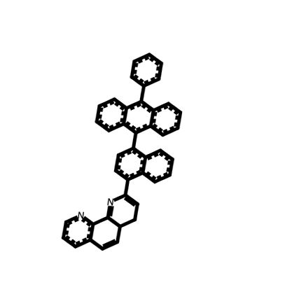 C1=CC2CC=C(c3ccc(-c4c5ccccc5c(-c5ccccc5)c5ccccc45)c4ccccc34)N=C2c2ncccc21